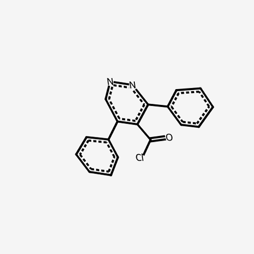 O=C(Cl)c1c(-c2ccccc2)cnnc1-c1ccccc1